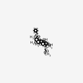 COC(=O)COC[C@@]1(C)C2CC[C@]3(C)[C@H](C(O)C=C4[C@@H]5C[C@@](C)(C(=O)OCc6ccccc6)CC[C@]5(C)CC[C@]43C)[C@@]2(C)CC[C@@H]1O